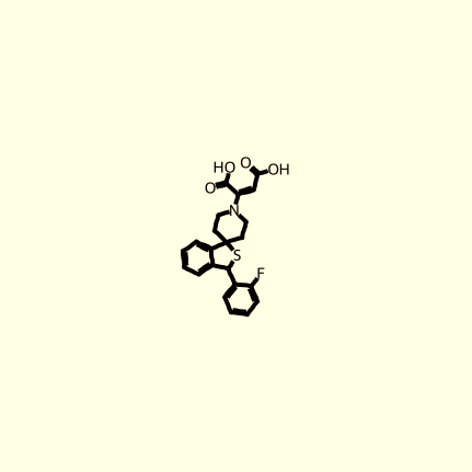 O=C(O)C=C(C(=O)O)N1CCC2(CC1)SC(c1ccccc1F)c1ccccc12